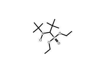 CCOP(=O)(OCC)C(N([O])C(C)(C)C)C(C)(C)C